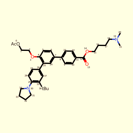 CC(=O)OCCOc1ccc(-c2ccc(C(=O)OCCCCN(C)C)cc2)cc1-c1ccc(N2CCCC2)c(C(C)(C)C)c1